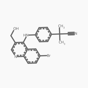 CC(C)(C#N)c1ccc(Nc2c(CO)cnc3ccc(Br)cc23)cc1